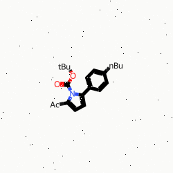 CCCCc1ccc(-c2ccc(C(C)=O)n2C(=O)OC(C)(C)C)cc1